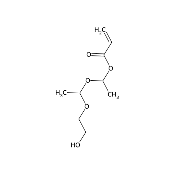 C=CC(=O)OC(C)OC(C)OCCO